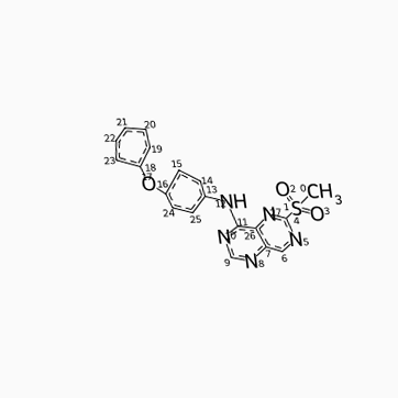 CS(=O)(=O)c1ncc2ncnc(Nc3ccc(Oc4ccccc4)cc3)c2n1